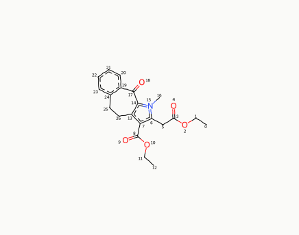 CCOC(=O)Cc1c(C(=O)OCC)c2c(n1C)C(=O)c1ccccc1CC2